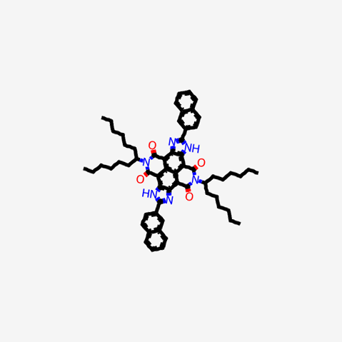 CCCCCCC(CCCCCC)N1C(=O)c2c3nc(-c4ccc5ccccc5c4)[nH]c3c3c4c(c5nc(-c6ccc7ccccc7c6)[nH]c5c(c24)C1=O)C(=O)N(C(CCCCCC)CCCCCC)C3=O